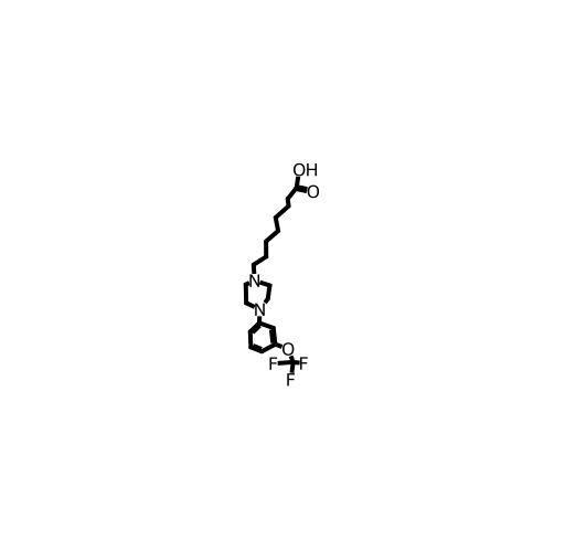 O=C(O)CCCCCCCN1CCN(c2cccc(OC(F)(F)F)c2)CC1